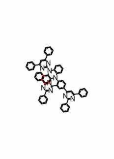 c1ccc(-c2cc(-c3ccc(N4c5ccccc5N(c5nc(-c6ccccc6)cc(-c6ccccc6)n5)c5ccccc54)c(-c4nc(-c5ccccc5)nc(-c5ccccc5)n4)c3)nc(-c3ccccc3)n2)cc1